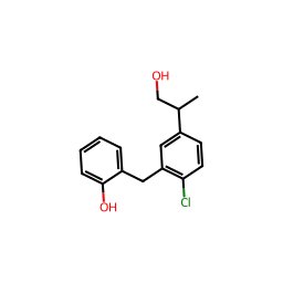 CC(CO)c1ccc(Cl)c(Cc2ccccc2O)c1